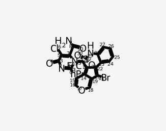 CCCc1nc(=O)c(Cl)c(C(N)=O)n1Cc1c2ccocc-2c(Br)c1-c1ccccc1NS(=O)(=O)C(F)(F)F